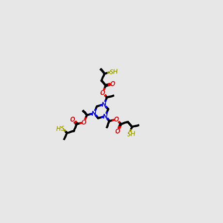 CC(S)CC(=O)OC(C)N1CN(C(C)OC(=O)CC(C)S)CN(C(C)OC(=O)CC(C)S)C1